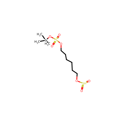 C[Si](C)(C)OS(=O)(=O)OCCCCCCO[SH](=O)=O